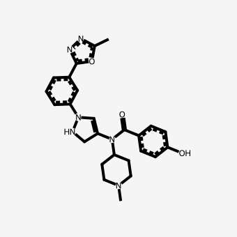 Cc1nnc(-c2cccc(N3C=C(N(C(=O)c4ccc(O)cc4)C4CCN(C)CC4)CN3)c2)o1